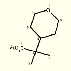 CCOC(=O)C(C)(C)C1CCOCC1